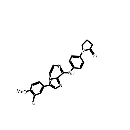 COc1ccc(-c2cnc3c(Nc4ccc(N5CCCC5=O)cc4)nccn23)cc1Cl